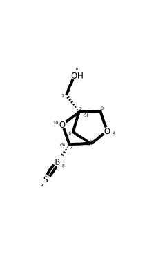 OC[C@]12COC(C1)[C@H](B=S)O2